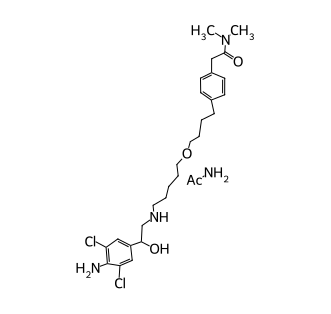 CC(N)=O.CN(C)C(=O)Cc1ccc(CCCCOCCCCCNCC(O)c2cc(Cl)c(N)c(Cl)c2)cc1